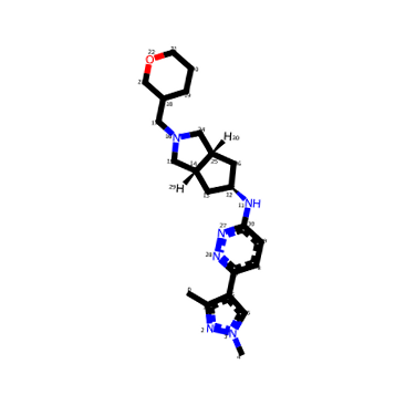 Cc1nn(C)cc1-c1ccc(N[C@H]2C[C@@H]3CN(CC4CCCOC4)C[C@@H]3C2)nn1